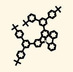 CC(C)(C)c1ccc(-c2cc(-c3ccc(C(C)(C)C)cc3)cc(-c3ccc4c(c3)c3cc(-c5cc(-c6ccc(C(C)(C)C)cc6)cc(-c6cccc(C(C)(C)C)c6)c5)ccc3n4-c3ccccc3-c3ccccc3)c2)cc1